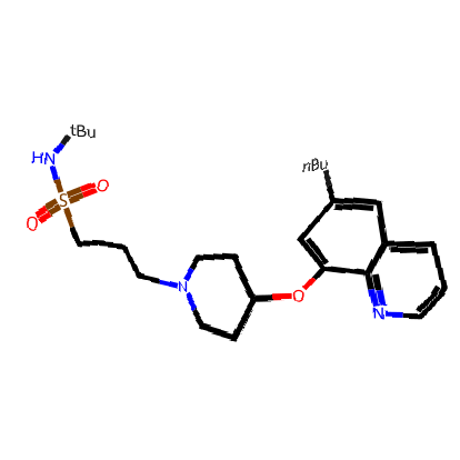 CCCCc1cc(OC2CCN(CCCS(=O)(=O)NC(C)(C)C)CC2)c2ncccc2c1